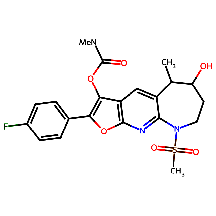 CNC(=O)Oc1c(-c2ccc(F)cc2)oc2nc3c(cc12)C(C)C(O)CCN3S(C)(=O)=O